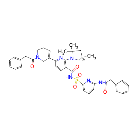 C[C@@H]1CN(c2nc(C3=CCCN(C(=O)Cc4ccccc4)C3)ccc2C(=O)NS(=O)(=O)c2cccc(NC(=O)Cc3ccccc3)n2)C(C)(C)C1